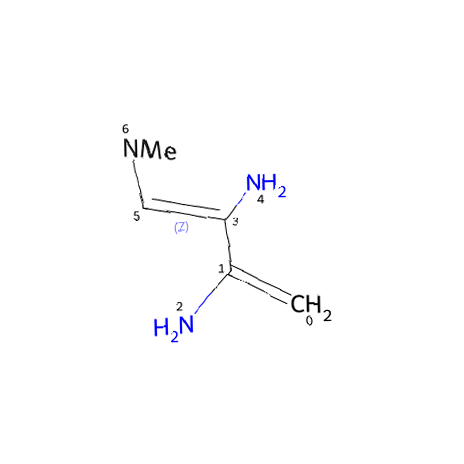 C=C(N)/C(N)=C/NC